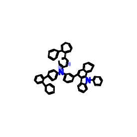 C=C(/C=C\C(=C/C)N(c1ccc(-c2ccccc2-c2ccccc2)cc1)c1cccc(-c2cc3ccccc3c3c2c2ccccc2n3-c2ccccc2)c1)C1=CC=CCC=C1c1ccccc1